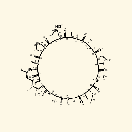 CC=CC[C@@H](C)[C@@H](O)[C@H]1C(=O)N[C@@H](CC)C(=O)N(C)CC(=O)N(C)[C@@H](CC(C)C)C(=O)N[C@@H](C(C)C)C(=O)N(C)[C@@H](CC(C)C)C(=O)N[C@@H](C)C(=O)N[C@H](C)C(=O)N(C)[C@@H](CC(C)C)C(=O)N(C)[C@@H](CC(C)C)C(=O)N(C)[C@@H](C(C)C)C(=O)N1C.Cl